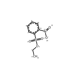 CCOS(=O)(=O)c1ccccc1[N+](=O)[O-]